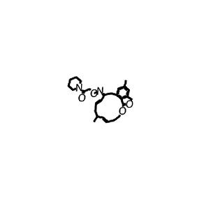 Cc1cc(C)c2c(c1)CC(=N/OCC(=O)N1CCCCC1)/C=C/CC(C)/C=C/CCOC2=O